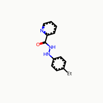 CCc1ccc(NNC(=O)c2ccccn2)cc1